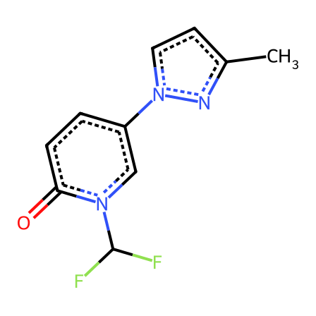 Cc1ccn(-c2ccc(=O)n(C(F)F)c2)n1